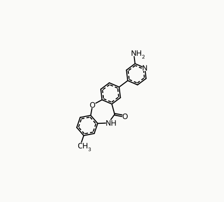 Cc1ccc2c(c1)NC(=O)c1cc(-c3ccnc(N)c3)ccc1O2